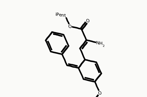 CCCCCCCCCCOC1=CC(=Cc2ccccc2)C(C=C(N)C(=O)OC(C)CCC)C=C1